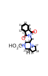 O=C(O)N1CC(CN2C(=O)c3ccccc3C2=O)N2CCC[C@H]2C1